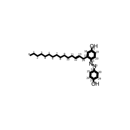 CCCCCCCCCCCCC=CCc1cc(O)ccc1N=Nc1ccc(O)cc1